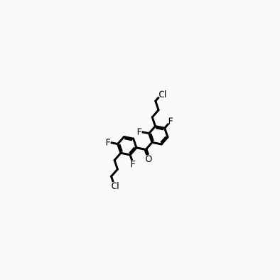 O=C(c1ccc(F)c(CCCCl)c1F)c1ccc(F)c(CCCCl)c1F